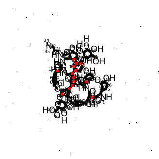 CN[C@H]1C(=O)N[C@H]2C(=O)N[C@H](C(=O)N[C@H]3C(=O)N[C@H]4C(=O)N[C@H](C(=O)N[C@H](C(=O)NCCCN(C)C)c5cc(O)cc(OC6CC(CO)C(O)C(O)C6O)c5-c5cc4ccc5O)[C@H](O)c4ccc(c(Cl)c4)Oc4cc3cc(c4OC3OC(C(=O)O)C(O)C(O)C3NC(=O)CCCCCCCCC(C)C)Oc3ccc(cc3Cl)[C@H]2O)c2cc(O)cc(c2)Oc2cc1ccc2O